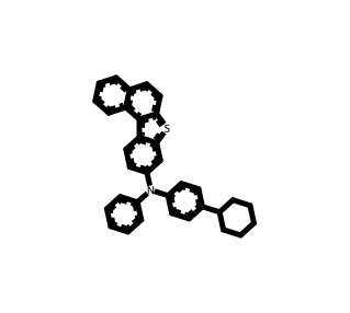 c1ccc(N(c2ccc(C3CCCCC3)cc2)c2ccc3c(c2)sc2ccc4ccccc4c23)cc1